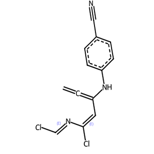 C=C=C(/C=C(Cl)\N=C\Cl)Nc1ccc(C#N)cc1